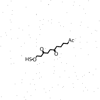 CC(=O)CCCCC(=O)CCC(=O)CCOS